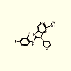 C=C(/N=C1\C(=C/N)N=C(Nc2ccc(F)cc2F)N1[C@@H]1CCOC1)NC(C)C